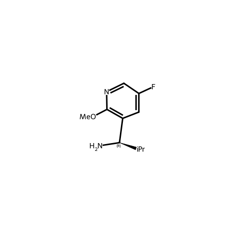 COc1ncc(F)cc1[C@H](N)C(C)C